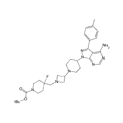 Cc1ccc(-c2nn(C3CCN(C4CN(CC5(F)CCN(C(=O)OC(C)(C)C)CC5)C4)CC3)c3ncnc(N)c23)cc1